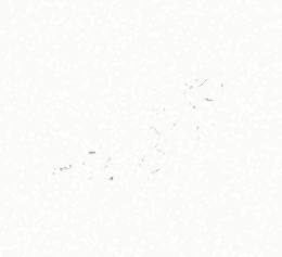 N#Cc1ccc(COc2cccc(-c3ccn(Cc4nc5ccccc5n4CC4CCCO4)c(=O)c3)c2)c(F)c1